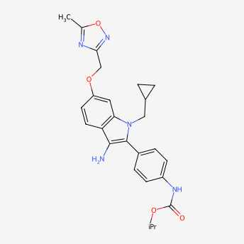 Cc1nc(COc2ccc3c(N)c(-c4ccc(NC(=O)OC(C)C)cc4)n(CC4CC4)c3c2)no1